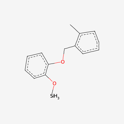 Cc1ccccc1COc1ccccc1O[SiH3]